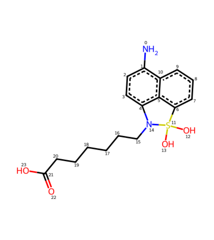 Nc1ccc2c3c(cccc13)S(O)(O)N2CCCCCCC(=O)O